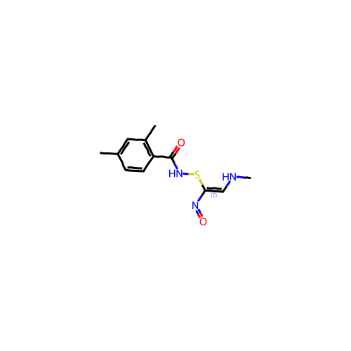 CN/C=C(/N=O)SNC(=O)c1ccc(C)cc1C